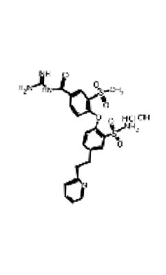 CS(=O)(=O)c1cc(C(=O)NC(=N)N)ccc1Oc1ccc(CCc2ccccn2)cc1S(N)(=O)=O.Cl.Cl